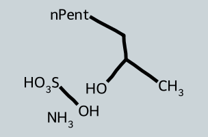 CCCCCCC(C)O.N.O=S(=O)(O)O